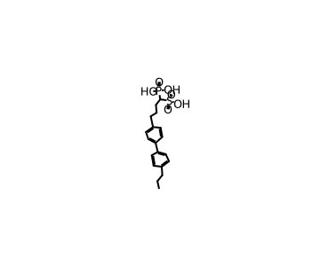 CCCc1ccc(-c2ccc(CCCC(P(=O)(O)O)S(=O)(=O)O)cc2)cc1